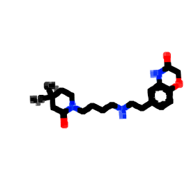 CC1(C)CCN(CCCCNCCc2ccc3c(c2)NC(=O)CO3)C(=O)C1